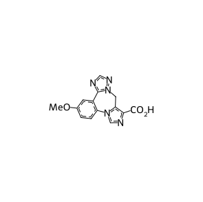 COc1ccc2c(c1)-c1ncnn1Cc1c(C(=O)O)ncn1-2